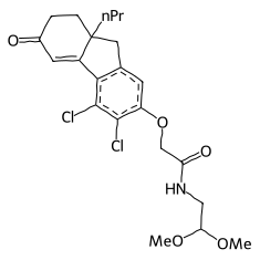 CCCC12CCC(=O)C=C1c1c(cc(OCC(=O)NCC(OC)OC)c(Cl)c1Cl)C2